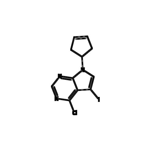 Clc1ncnc2c1c(I)cn2C1CC=CC1